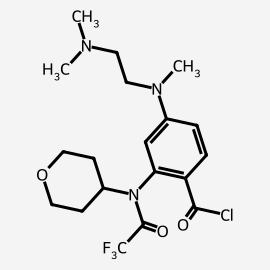 CN(C)CCN(C)c1ccc(C(=O)Cl)c(N(C(=O)C(F)(F)F)C2CCOCC2)c1